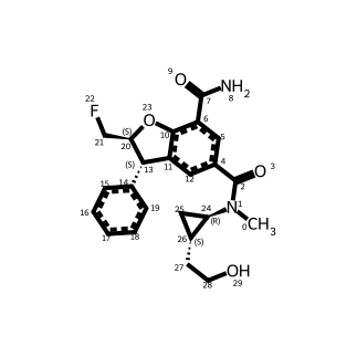 CN(C(=O)c1cc(C(N)=O)c2c(c1)[C@H](c1ccccc1)[C@@H](CF)O2)[C@@H]1C[C@H]1CCO